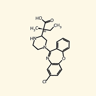 CC[C@@](C)(C(=O)O)C1CN(C2=Nc3cc(Cl)ccc3Oc3ccccc32)CCN1